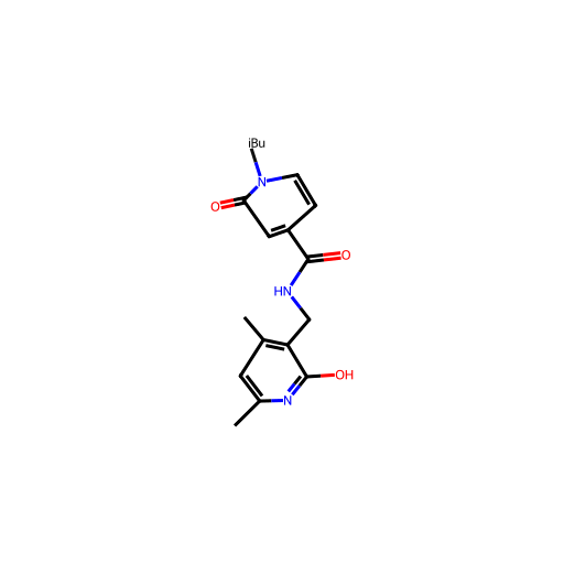 CCC(C)n1ccc(C(=O)NCc2c(C)cc(C)nc2O)cc1=O